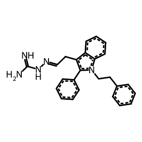 N=C(N)NN=CCc1c(-c2ccccc2)n(CCc2ccccc2)c2ccccc12